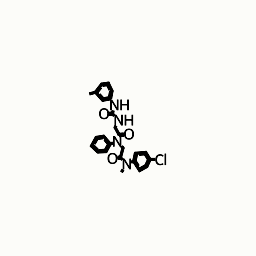 Cc1cccc(NC(=O)NCC(=O)N(CC(=O)N(C)c2ccc(Cl)cc2)c2ccccc2)c1